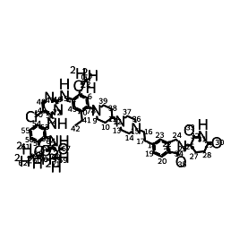 [2H]C([2H])([2H])Oc1cc(N2CCC(N3CCN(CCc4ccc5c(c4)CN(C4CCC(=O)NC4=O)C5=O)CC3)CC2)c(CC)cc1Nc1ncc(Cl)c(Nc2cccc(OC([2H])([2H])[2H])c2NS(=O)(=O)C([2H])([2H])[2H])n1